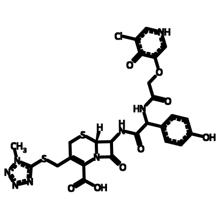 Cn1nnnc1SCC1=C(C(=O)O)N2C(=O)C(NC(=O)C(NC(=O)COc3c[nH]cc(Cl)c3=O)c3ccc(O)cc3)[C@H]2SC1